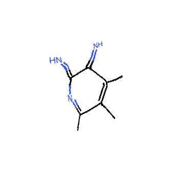 CC1=NC(=N)C(=N)C(C)=C1C